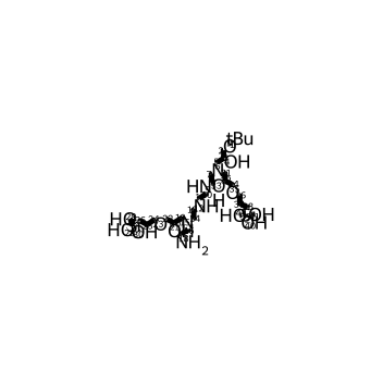 CC(C)(C)OCC(O)CN(CCNCCNCCN(CCN)CC(O)COCCC[Si](O)(O)O)CC(O)COCCC[Si](O)(O)O